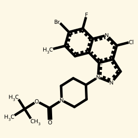 Cc1cc2c(nc(Cl)c3cnn(C4CCN(C(=O)OC(C)(C)C)CC4)c32)c(F)c1Br